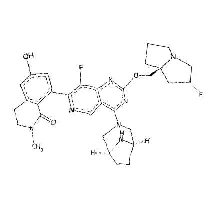 CN1CCc2cc(O)cc(-c3ncc4c(N5C[C@H]6CC[C@@H](C5)N6)nc(OC[C@@]56CCCN5C[C@H](F)C6)nc4c3F)c2C1=O